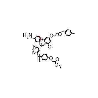 CCOC(=O)COc1ccc(Nc2cc(N(Cc3c(OC)cc(OCCOCc4ccc(C)cc4)cc3OC)c3cccc(CN)c3)ncn2)cc1